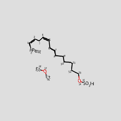 CCCCC/C=C\C/C=C\CCCCCCCCOS(=O)(=O)O.CCOCC